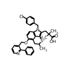 CC1Cc2c(OCc3cccnc3-c3ccccc3)ccc3c2c(c(CC(C)(C)C(=O)O)n3Cc2ccc(Cl)cc2)S1